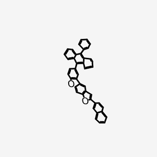 c1ccc(-c2c3ccccc3c(-c3ccc4oc5cc6oc(-c7ccc8ccccc8c7)cc6cc5c4c3)c3ccccc23)cc1